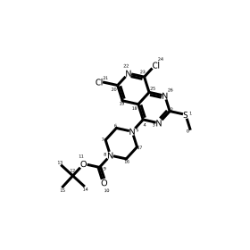 CSc1nc(N2CCN(C(=O)OC(C)(C)C)CC2)c2cc(Cl)nc(Cl)c2n1